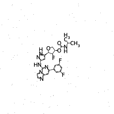 CC(C)NC(=O)O[C@@H]1CO[C@H](c2cc(Nc3nc(-c4cc(F)cc(F)c4)cc4nccn34)n[nH]2)[C@@H]1F